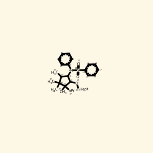 CCCCCCCOC1C(N(c2ccccc2)S(=O)(=O)c2ccccc2)C(C)C(C)(C)C1(C)CCC